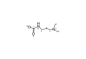 CN(C)CCCNC([O])=O